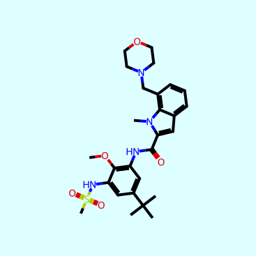 COc1c(NC(=O)c2cc3cccc(CN4CCOCC4)c3n2C)cc(C(C)(C)C)cc1NS(C)(=O)=O